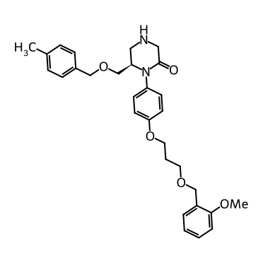 COc1ccccc1COCCCOc1ccc(N2C(=O)CNC[C@@H]2COCc2ccc(C)cc2)cc1